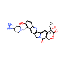 CC[C@@]1(O)C(=O)OCc2c1cc1n(c2=O)Cc2cc3c(CN4CCC(NN)CC4)c(O)ccc3nc2-1